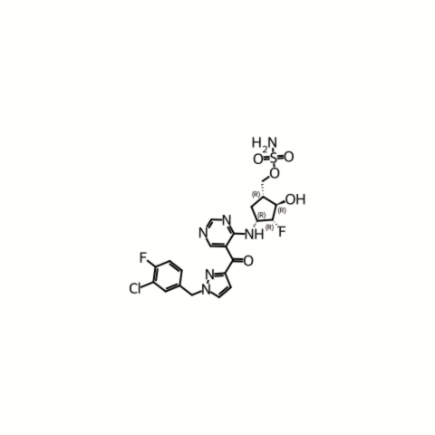 NS(=O)(=O)OC[C@H]1C[C@@H](Nc2ncncc2C(=O)c2ccn(Cc3ccc(F)c(Cl)c3)n2)[C@@H](F)[C@@H]1O